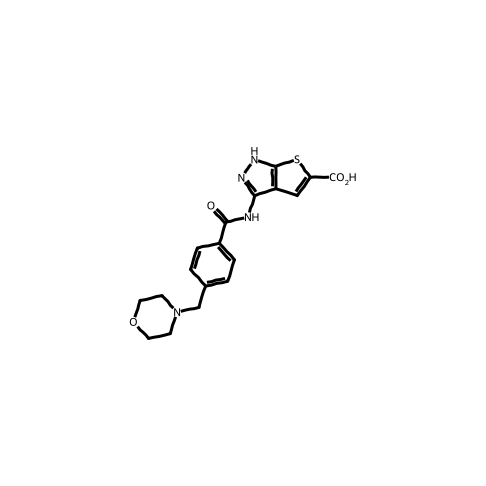 O=C(Nc1n[nH]c2sc(C(=O)O)cc12)c1ccc(CN2CCOCC2)cc1